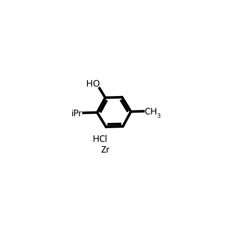 Cc1ccc(C(C)C)c(O)c1.Cl.[Zr]